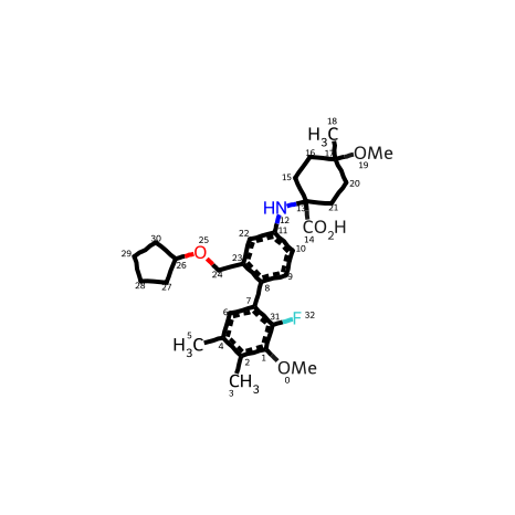 COc1c(C)c(C)cc(-c2ccc(NC3(C(=O)O)CCC(C)(OC)CC3)cc2COC2CCCC2)c1F